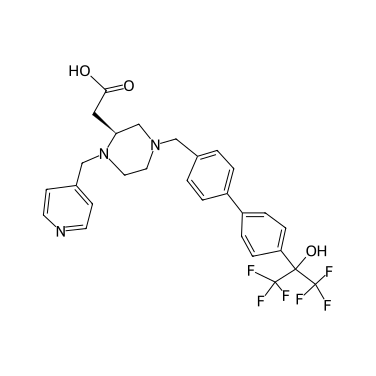 O=C(O)C[C@H]1CN(Cc2ccc(-c3ccc(C(O)(C(F)(F)F)C(F)(F)F)cc3)cc2)CCN1Cc1ccncc1